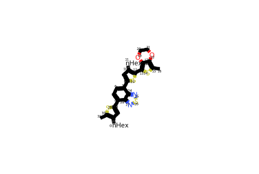 CCCCCCc1cc(-c2ccc(-c3cc(CCCCCC)c(-c4sc(C)c5c4OCCO5)s3)c3nsnc23)sc1C